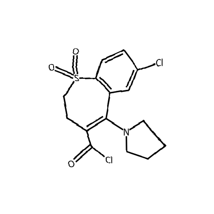 O=C(Cl)C1=C(N2CCCC2)c2cc(Cl)ccc2S(=O)(=O)CC1